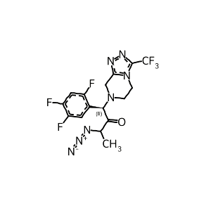 CC(N=[N+]=[N-])C(=O)[C@@H](c1cc(F)c(F)cc1F)N1CCn2c(nnc2C(F)(F)F)C1